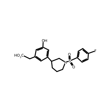 O=C(O)Cc1cc(O)cc(C2CCCN(S(=O)(=O)c3ccc(F)cc3)C2)c1